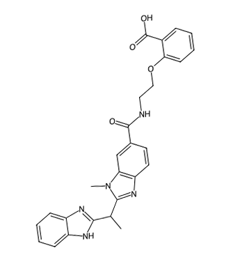 CC(c1nc2ccccc2[nH]1)c1nc2ccc(C(=O)NCCOc3ccccc3C(=O)O)cc2n1C